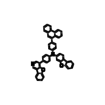 c1ccc2c(c1)cc(-c1ccc(N(c3ccc(-c4cncc5c4oc4ccccc45)cc3)c3ccc4c(c3)oc3ccccc34)cc1)c1ccccc12